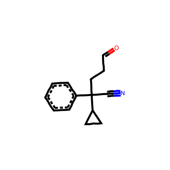 N#CC(CCC=O)(c1ccccc1)C1CC1